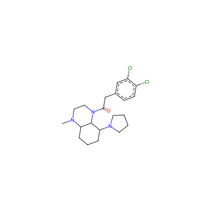 CN1CCN(C(=O)Cc2ccc(Cl)c(Cl)c2)C2C1CCCC2N1CCCC1